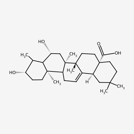 CC1C2[C@H](O)C[C@]3(C)C(CC=C4[C@@H]5CC(C)(C)CC[C@]5(C(=O)O)CC[C@]43C)[C@@]2(C)CC[C@@H]1O